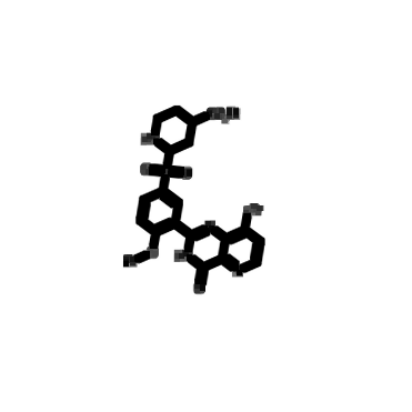 CCCc1ccnc2c(=O)[nH]c(-c3cc(S(=O)(=O)C4CC(C(=O)OCC)CCN4)ccc3OCC)nc12